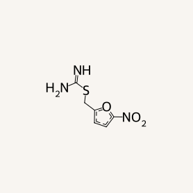 N=C(N)SCc1ccc([N+](=O)[O-])o1